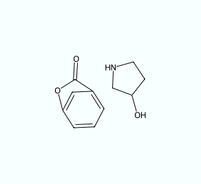 O=C1Oc2cccc1c2.OC1CCNC1